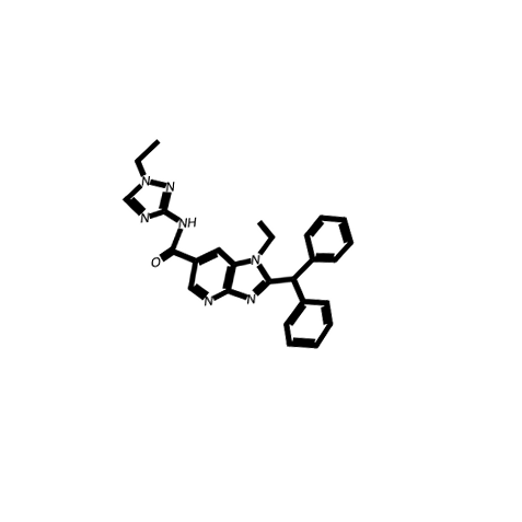 CCn1cnc(NC(=O)c2cnc3nc(C(c4ccccc4)c4ccccc4)n(CC)c3c2)n1